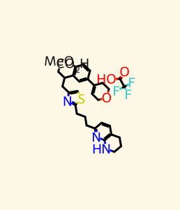 COc1ccc(C2=CCOCC2)cc1C(CC(=O)O)Cc1csc(CCCc2ccc3c(n2)NCCC3)n1.O=C(O)C(F)(F)F